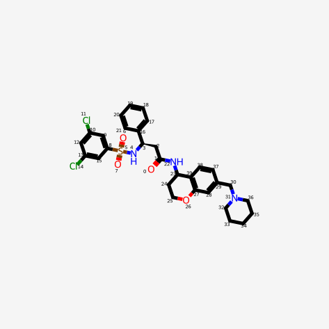 O=C(C[C@@H](NS(=O)(=O)c1cc(Cl)cc(Cl)c1)c1ccccc1)NC1CCOc2cc(CN3CCCCC3)ccc21